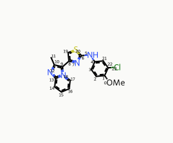 COc1ccc(Nc2nc(-c3c(C)nc4ccccn34)cs2)cc1Cl